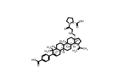 C=C(C)[C@@H]1CC[C@]2(CNCC(=O)N3CCC[C@@H]3C(=O)O)CC[C@]3(C)[C@H](CC[C@@H]4[C@@]5(C)CC=C(c6ccc(C(=O)O)cc6)C(C)(C)[C@@H]5CC[C@]43C)[C@@H]12